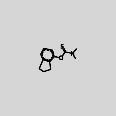 CN(C)C(=S)Oc1cccc2c1CCC2